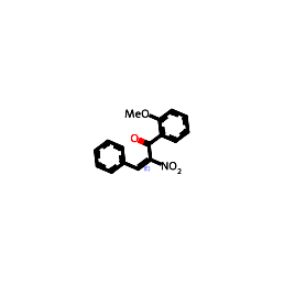 COc1ccccc1C(=O)/C(=C\c1ccccc1)[N+](=O)[O-]